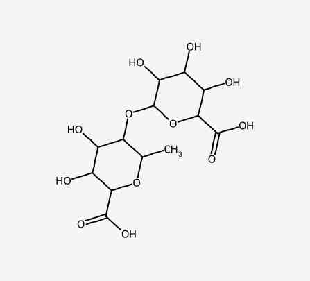 CC1OC(C(=O)O)C(O)C(O)C1OC1OC(C(=O)O)C(O)C(O)C1O